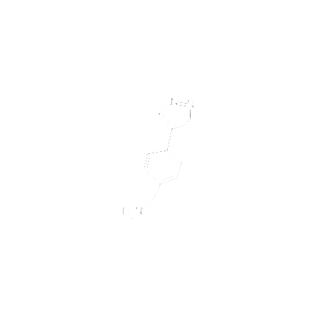 NCc1ccc(-c2cnns2)cc1